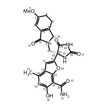 COC1=CC2=C(CC1)CN(C[C@@]1(c3cc4c(C)nc(O)c(C(N)=O)c4o3)NC(=O)NC1=O)C2=O